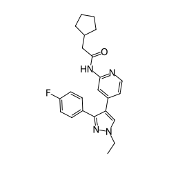 CCn1cc(-c2ccnc(NC(=O)CC3CCCC3)c2)c(-c2ccc(F)cc2)n1